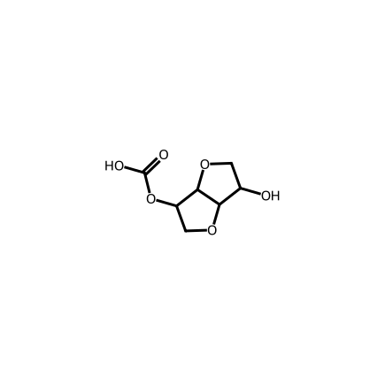 O=C(O)OC1COC2C(O)COC12